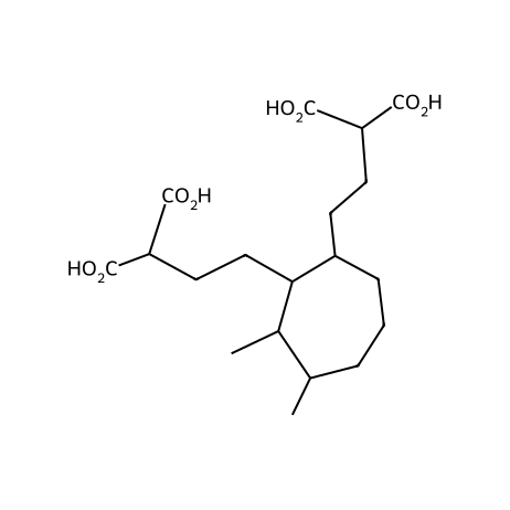 CC1CCCC(CCC(C(=O)O)C(=O)O)C(CCC(C(=O)O)C(=O)O)C1C